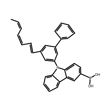 C\C=C/C=C\C=C\c1cc(-c2ccccc2)cc(-n2c3ccccc3c3cc(B(O)O)ccc32)c1